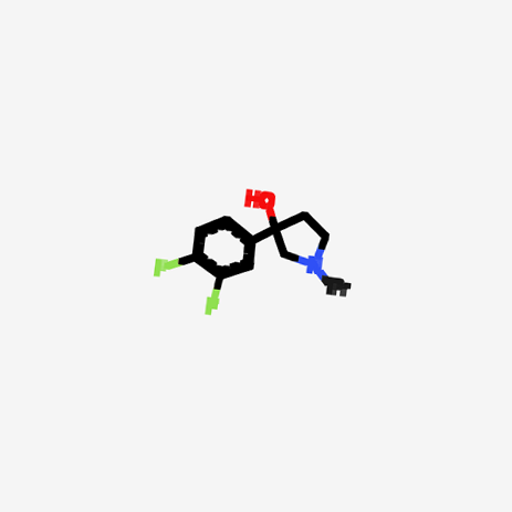 CC(C)N1CCC(O)(c2ccc(F)c(F)c2)C1